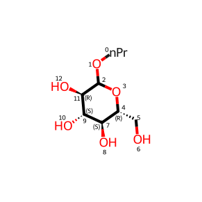 CCCOC1O[C@H](CO)[C@@H](O)[C@H](O)[C@H]1O